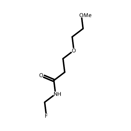 COCCOCCC(=O)NCF